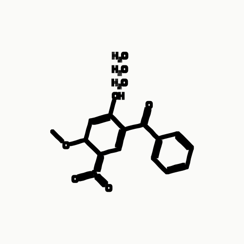 COC1C=C(O)C(C(=O)c2ccccc2)=CC1=S(=O)=O.O.O.O